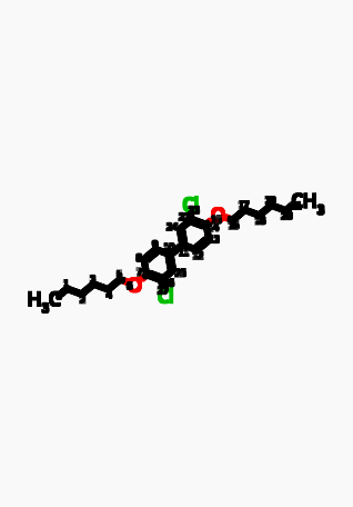 CCCCCCOc1ccc(-c2ccc(OCCCCCC)c(Cl)c2)cc1Cl